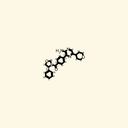 Nc1ncc(C2CCOCC2)nc1-c1ccc(C(=O)N2COC[C@@H]2c2ccccc2)cc1